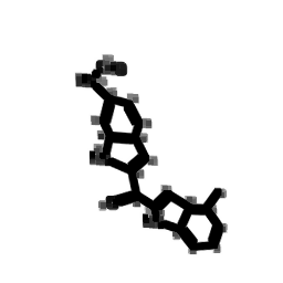 Cc1cccc2[nH]c(C(=O)c3cc4ccc(NC=O)cc4[nH]3)cc12